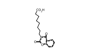 O=C(O)CCCCCCCn1c(=O)oc2ccccc2c1=O